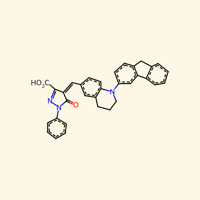 O=C(O)C1=NN(c2ccccc2)C(=O)/C1=C\c1ccc2c(c1)CCCN2c1ccc2c(c1)-c1ccccc1C2